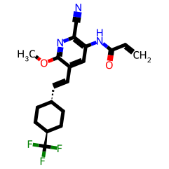 C=CC(=O)Nc1cc(/C=C/[C@H]2CC[C@H](C(F)(F)F)CC2)c(OC)nc1C#N